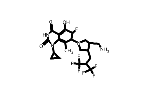 CC1=c2c(c(=O)[nH]c(=O)n2C2CC2)=C(O)C(F)C1N1CC(CN)C(CC(C(F)(F)F)C(F)(F)F)C1